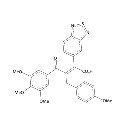 COc1ccc(C/C(C(=O)c2cc(OC)c(OC)c(OC)c2)=C(\C(=O)O)c2ccc3nsnc3c2)cc1